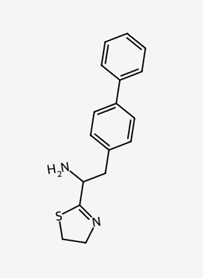 NC(Cc1ccc(-c2ccccc2)cc1)C1=NCCS1